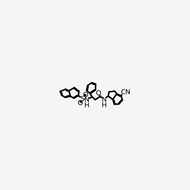 N#Cc1cccc2c1CCC2NC(=O)CC(NS(=O)(=O)c1ccc2ccccc2c1)c1ccccc1